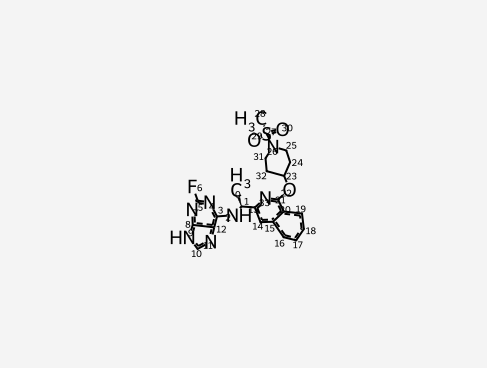 C[C@H](Nc1nc(F)nc2[nH]cnc12)c1cc2ccccc2c(OC2CCN(S(C)(=O)=O)CC2)n1